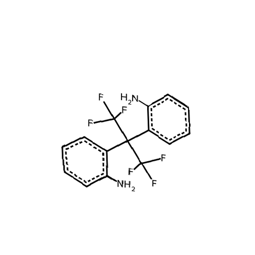 Nc1ccccc1C(c1ccccc1N)(C(F)(F)F)C(F)(F)F